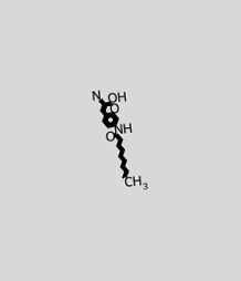 CCCCCCCCCC(=O)Nc1ccc(/C=C(/C#N)C(=O)O)cc1